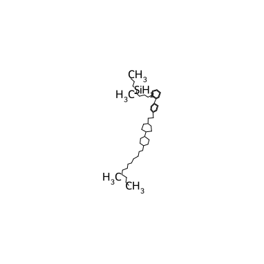 CCCC[SiH2]C(C)CCCc1ccccc1-c1ccc(CCC2CCC(C3CCC(CCCCCCCCC(C)CCC)CC3)CC2)cc1